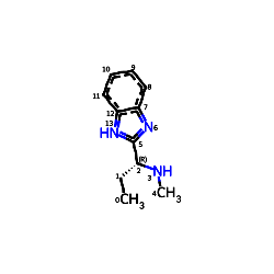 CC[C@@H](NC)c1nc2ccccc2[nH]1